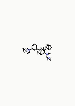 C=C/C(=C\N(C)C)c1cccc(-c2ncc(C(/C=N\C)=C/C)c(N3CCC[C@H]3C)n2)c1